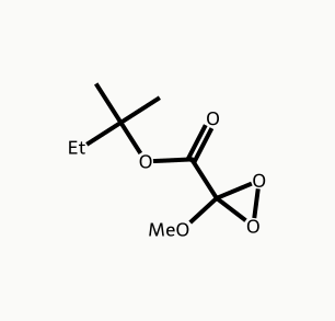 CCC(C)(C)OC(=O)C1(OC)OO1